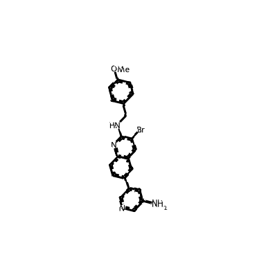 COc1ccc(CNc2nc3ccc(-c4cncc(N)c4)cc3cc2Br)cc1